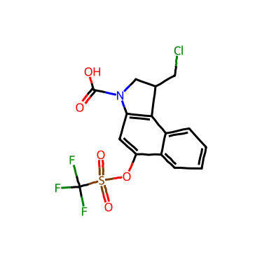 O=C(O)N1CC(CCl)c2c1cc(OS(=O)(=O)C(F)(F)F)c1ccccc21